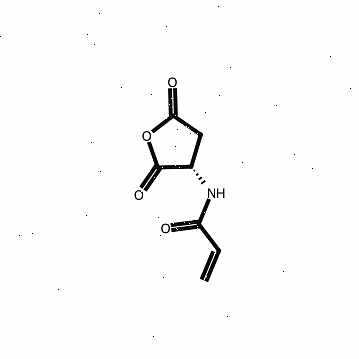 C=CC(=O)N[C@H]1CC(=O)OC1=O